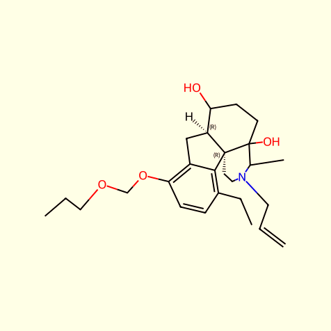 C=CCN1CC[C@]23c4c(CC)ccc(OCOCCC)c4C[C@H]2C(O)CCC3(O)C1C